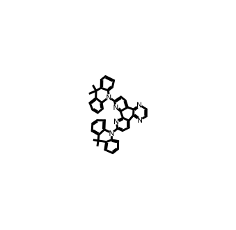 CC1(C)c2ccccc2N(c2ccc3c4nccnc4c4ccc(N5c6ccccc6C(C)(C)c6ccccc65)nc4c3n2)c2ccccc21